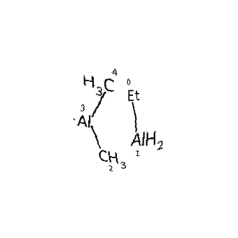 C[CH2][AlH2].[CH3][Al][CH3]